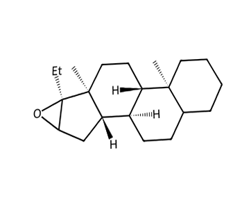 CC[C@@]12OC1C[C@H]1[C@@H]3CCC4CCCC[C@]4(C)[C@H]3CC[C@@]12C